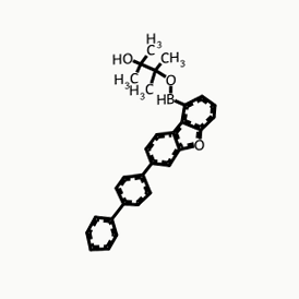 CC(C)(O)C(C)(C)OBc1cccc2oc3cc(-c4ccc(-c5ccccc5)cc4)ccc3c12